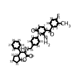 Cc1cc(C(=O)c2ccc(=O)n(-c3ccc(CNC(C(=O)O)C(c4ccccc4)C4CCCC4)cc3)c2N)ccc1F